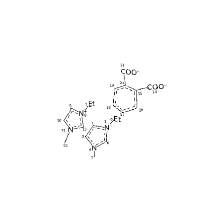 CC[n+]1ccn(C)c1.CC[n+]1ccn(C)c1.O=C([O-])c1ccccc1C(=O)[O-]